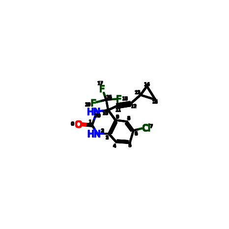 O=C1Nc2ccc(Cl)cc2C(C#CC2CC2)(C(F)(F)F)N1